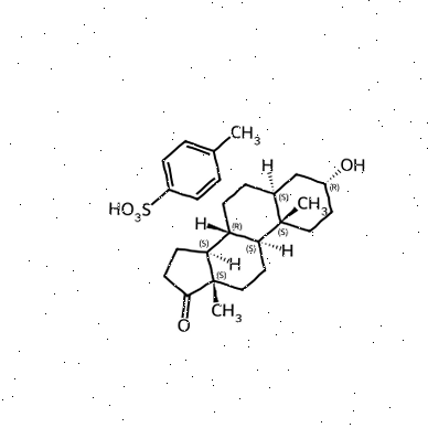 C[C@]12CC[C@@H](O)C[C@@H]1CC[C@@H]1[C@@H]2CC[C@]2(C)C(=O)CC[C@@H]12.Cc1ccc(S(=O)(=O)O)cc1